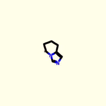 [C]1CCCc2cncn21